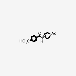 CC(=O)N1CCN(NC(=O)c2ccc(C(=O)O)cc2)CC1